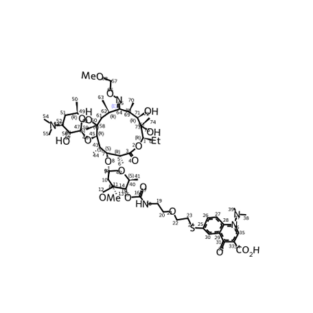 CC[C@H]1OC(=O)[C@H](C)[C@@H](O[C@H]2C[C@@](C)(OC)[C@@H](OC(=O)NCCOCCSc3ccc4c(c3)c(=O)c(C(=O)O)cn4N(C)C)[C@H](C)O2)[C@H](C)[C@@H](O[C@@H]2O[C@H](C)C[C@H](N(C)C)[C@H]2O)[C@](C)(O)C[C@@H](C)/C(=N\OCOC)[C@@H](C)[C@@H](O)[C@]1(C)O